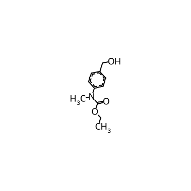 CCOC(=O)N(C)c1ccc(CO)cc1